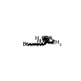 CCCCC(C#CCCCCCCCCCCCBr)O[Si](C)(C)C(C)(C)C